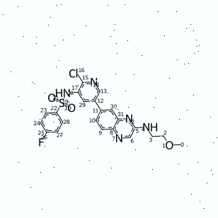 COCCNc1cnc2ccc(-c3cnc(Cl)c(NS(=O)(=O)c4ccc(F)cc4)c3)cc2n1